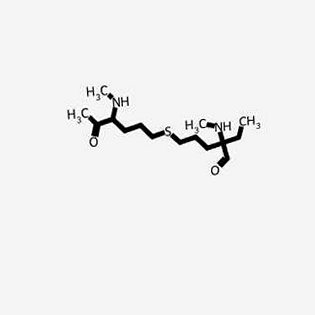 CCC(C=O)(CCCSCCCC(NC)C(C)=O)NC